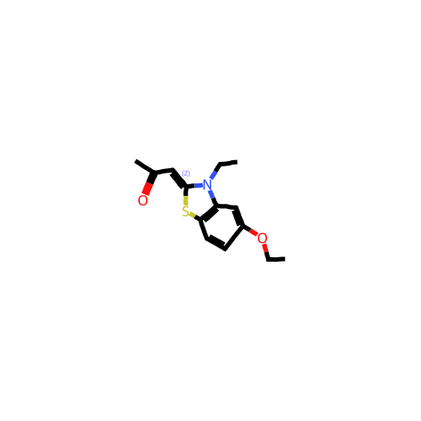 CCOc1ccc2c(c1)N(CC)/C(=C/C(C)=O)S2